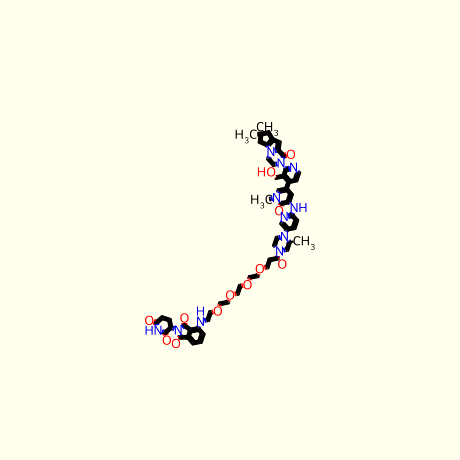 C[C@H]1CN(C(=O)CCOCCOCCOCCOCCNc2cccc3c2C(=O)N(C2CCC(=O)NC2=O)C3=O)CCN1c1ccc(Nc2cc(-c3ccnc(N4CCn5c(cc6c5CC(C)(C)C6)C4=O)c3CO)cn(C)c2=O)nc1